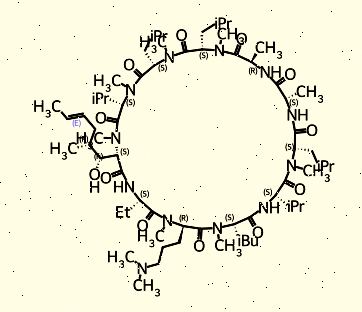 C/C=C/C[C@@H](C)[C@@H](O)[C@H]1C(=O)N[C@@H](CC)C(=O)N(C)[C@H](CCCN(C)C)C(=O)N(C)[C@@H](C(C)CC)C(=O)N[C@@H](C(C)C)C(=O)N(C)[C@@H](CC(C)C)C(=O)N[C@@H](C)C(=O)N[C@H](C)C(=O)N(C)[C@@H](CC(C)C)C(=O)N(C)[C@@H](CC(C)C)C(=O)N(C)[C@@H](C(C)C)C(=O)N1C